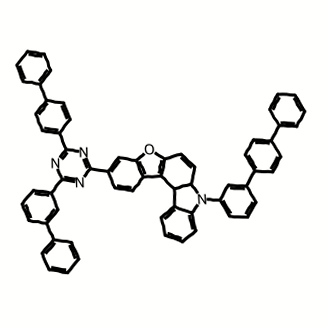 C1=CC2C(c3ccccc3N2c2cccc(-c3ccc(-c4ccccc4)cc3)c2)c2c1oc1cc(-c3nc(-c4ccc(-c5ccccc5)cc4)nc(-c4cccc(-c5ccccc5)c4)n3)ccc21